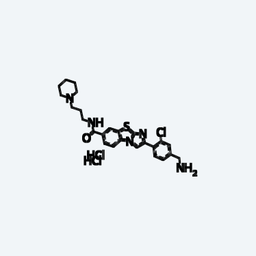 Cl.Cl.NCc1ccc(-c2cn3c(n2)sc2cc(C(=O)NCCCN4CCCCC4)ccc23)c(Cl)c1